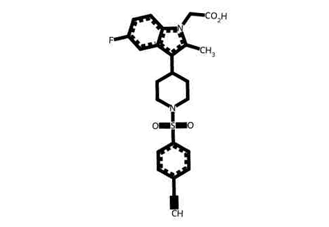 C#Cc1ccc(S(=O)(=O)N2CCC(c3c(C)n(CC(=O)O)c4ccc(F)cc34)CC2)cc1